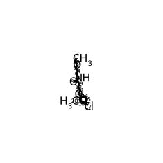 CCOCCCNC(=O)CCCOc1ccc(Cl)cc1C